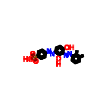 Cc1cccc(N=Nc2c(O)ccc(N=Nc3ccc(S(=O)(=O)O)cc3)c2O)c1C